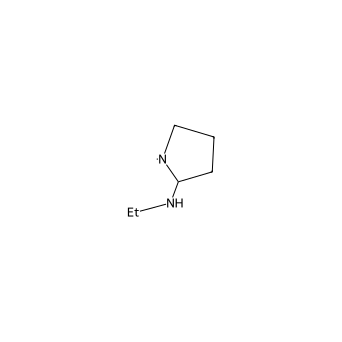 CCNC1CCC[N]1